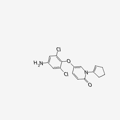 Nc1cc(Cl)c(Oc2ccc(=O)n(C3=CCCC3)c2)c(Cl)c1